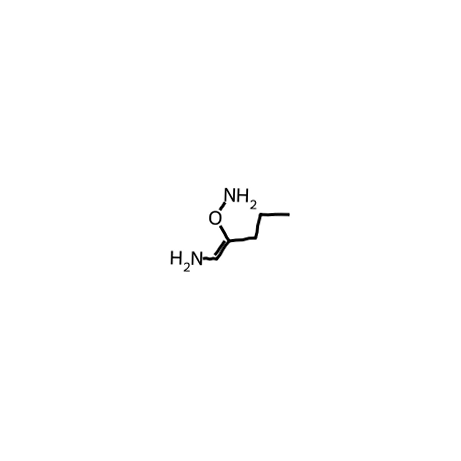 CCC/C(=C/N)ON